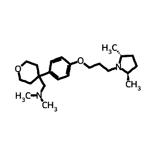 C[C@@H]1CC[C@@H](C)N1CCCOc1ccc(C2(CN(C)C)CCOCC2)cc1